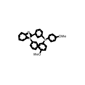 COc1ccc(N(c2ccc(OC)cc2)c2cccc(-c3nc4ccccc4n3-c3ccccc3)c2)cc1